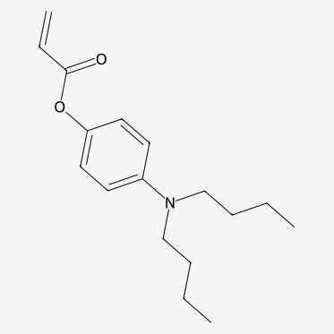 C=CC(=O)Oc1ccc(N(CCCC)CCCC)cc1